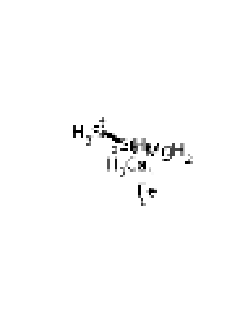 [CaH2].[Fe].[MgH2].[SiH3][SiH3]